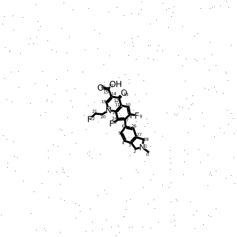 CN1Cc2ccc(-c3c(F)cc4c(=O)c(C(=O)O)cn(CCF)c4c3F)cc2C1